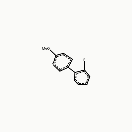 COc1ccc(-c2cc[c]cc2F)cn1